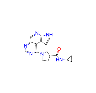 O=C(NC1CC1)C1CCN(c2ncnc3cnc4[nH]ccc4c23)C1